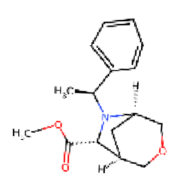 COC(=O)[C@H]1[C@@H]2COC[C@@H](C2)N1[C@@H](C)c1ccccc1